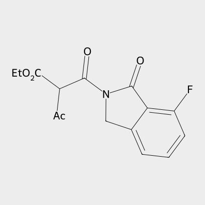 CCOC(=O)C(C(C)=O)C(=O)N1Cc2cccc(F)c2C1=O